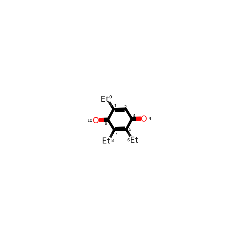 CCC1=CC(=O)C(CC)=C(CC)C1=O